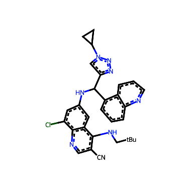 CC(C)(C)CNc1c(C#N)cnc2c(Cl)cc(NC(c3cn(C4CC4)nn3)c3cccc4ncccc34)cc12